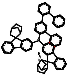 c1ccc(-c2ccccc2-c2ccc(N(c3ccc4c(c3)C3(CC5CCC3C5)c3ccccc3-4)c3ccc4c(c3)C3(c5ccccc5-4)C4CCC5C4C[C@@H]53)c(-c3ccccc3)c2)cc1